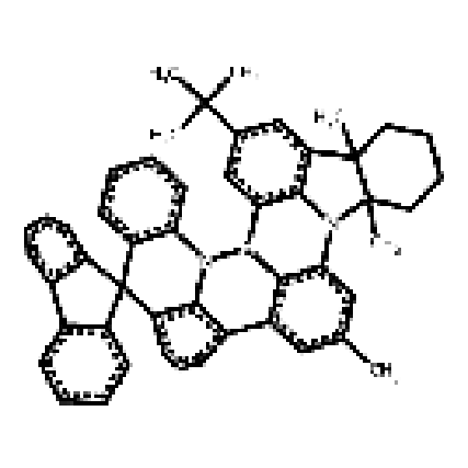 Cc1cc2c3c(c1)N1c4c(cc(C(C)(C)C)cc4C4(C)CCCCC14C)B3N1c3ccccc3C3(c4ccccc4-c4ccccc43)c3cccc-2c31